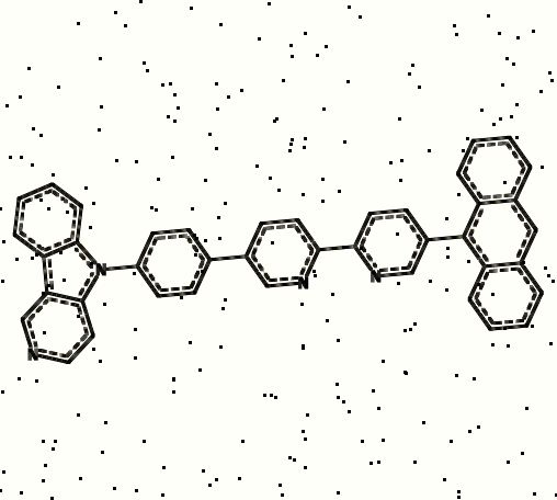 c1ccc2c(-c3ccc(-c4ccc(-c5ccc(-n6c7ccccc7c7cnccc76)cc5)cn4)nc3)c3ccccc3cc2c1